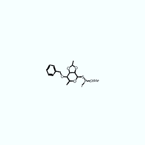 COP(I)SC1OC(C)C(OCc2ccccc2)C2OC(C)OC12